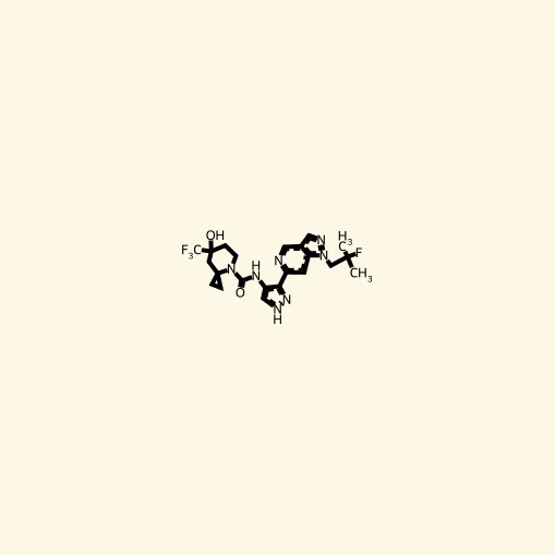 CC(C)(F)Cn1ncc2cnc(-c3n[nH]cc3NC(=O)N3CCC(O)(C(F)(F)F)CC34CC4)cc21